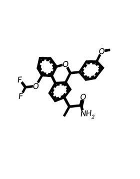 COc1cccc(C2Oc3cccc(OC(F)F)c3-c3ccc(C(C)C(N)=O)cc32)c1